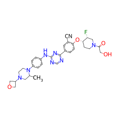 CC1CN(C2COC2)CCN1c1ccc(Nc2ncnc(-c3ccc(O[C@H]4CCN(C(=O)CO)C[C@H]4F)c(C#N)c3)n2)cc1